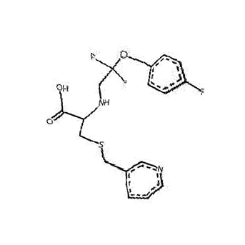 O=C(O)C(CSCc1cccnc1)NCC(F)(F)Oc1ccc(F)cc1